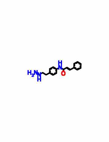 NNCCc1ccc(NC(=O)/C=C/c2ccccc2)cc1